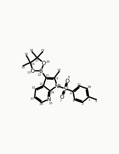 Cc1ccc(S(=O)(=O)n2c(C)c(B3OC(C)(C)C(C)(C)O3)c3cccnc32)cc1